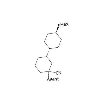 CCCCCC[C@H]1CC[C@H](C2CCCC(C#N)(CCCCC)C2)CC1